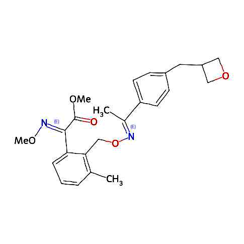 CO/N=C(/C(=O)OC)c1cccc(C)c1CO/N=C(\C)c1ccc(CC2COC2)cc1